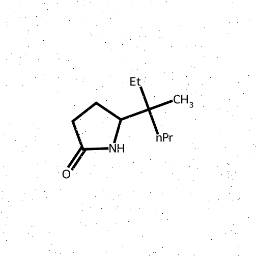 CCCC(C)(CC)C1CCC(=O)N1